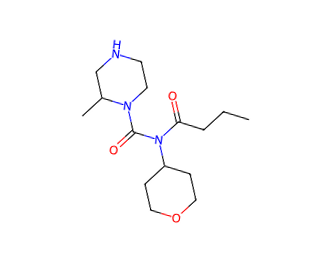 CCCC(=O)N(C(=O)N1CCNCC1C)C1CCOCC1